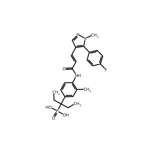 CCC(CC)(c1ccc(NC(=O)C=Cc2cnn(C)c2-c2ccc(F)cc2)c(C)c1)P(=O)(O)O